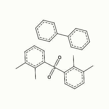 Cc1cccc(S(=O)(=O)c2cccc(C)c2C)c1C.c1ccc(-c2ccccc2)cc1